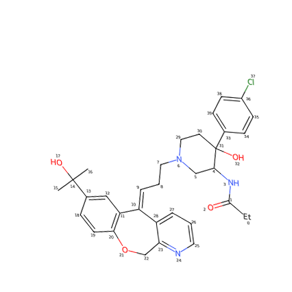 CCC(=O)NC1CN(CC/C=C2/c3cc(C(C)(C)O)ccc3OCc3ncccc32)CCC1(O)c1ccc(Cl)cc1